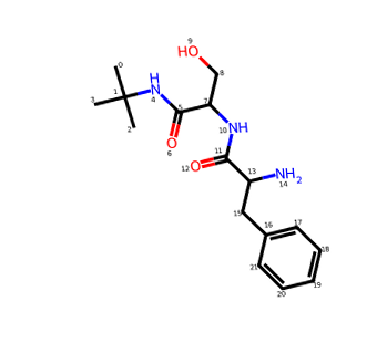 CC(C)(C)NC(=O)C(CO)NC(=O)C(N)Cc1ccccc1